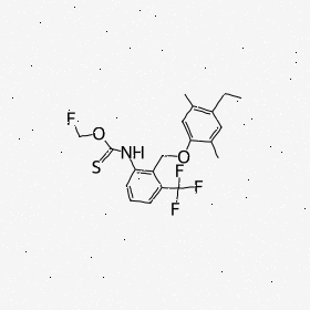 CCc1cc(C)c(OCc2c(NC(=S)OCF)cccc2C(F)(F)F)cc1C